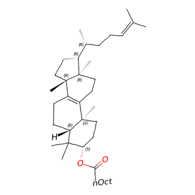 CCCCCCCCC(=O)O[C@H]1CC[C@]2(C)C3=C(CC[C@H]2C1(C)C)[C@]1(C)CC[C@H]([C@H](C)CCC=C(C)C)[C@@]1(C)CC3